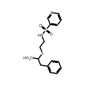 O=C(O)C(Cc1ccccc1)SCCNS(=O)(=O)c1cccnc1